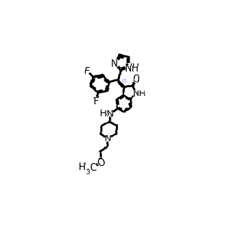 COCCN1CCC(Nc2ccc3c(c2)/C(=C(\c2cc(F)cc(F)c2)c2ncc[nH]2)C(=O)N3)CC1